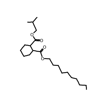 CCCCCCCCCCOC(=O)C1CCCCC1C(=O)OCC(C)C